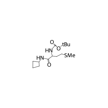 CSCCC(NC(=O)OC(C)(C)C)C(=O)NC1CCC1